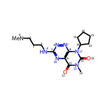 CNCCCNc1nnc2c(n1)c(=O)n(C)c(=O)n2C1CCCC1